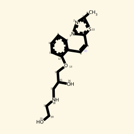 Cc1nnc(/C=C\c2ccccc2OCC(O)CNCCO)s1